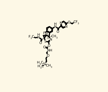 C[C@]1(c2cc(NC(=O)c3cnc(OCC(F)(F)F)cn3)ccc2F)N=C(OC(=O)NCOCC[Si](C)(C)C)S[C@@]2(C(=O)NCC(F)(F)F)C[C@H]21